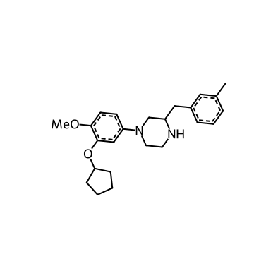 COc1ccc(N2CCNC(Cc3cccc(C)c3)C2)cc1OC1CCCC1